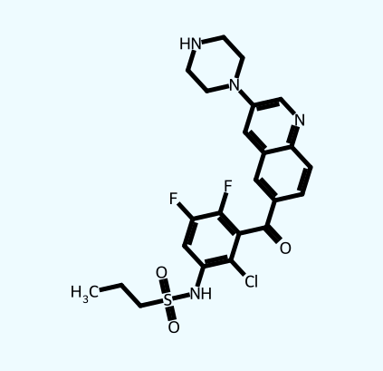 CCCS(=O)(=O)Nc1cc(F)c(F)c(C(=O)c2ccc3ncc(N4CCNCC4)cc3c2)c1Cl